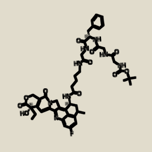 CC[C@@]1(O)C(=O)OCc2c1cc1n(c2=O)Cc2c-1nc1cc(F)cc3c1c2[C@@H](NC(=O)CCCCNC(=O)CNC(=O)[C@H](Cc1ccccc1)NC(=O)CNC(=O)CNC(=O)OC(C)(C)C)CC3C